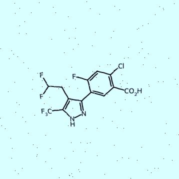 O=C(O)c1cc(-c2n[nH]c(C(F)(F)F)c2CC(F)F)c(F)cc1Cl